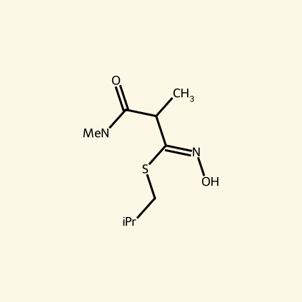 CNC(=O)C(C)C(=NO)SCC(C)C